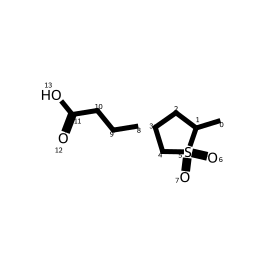 CC1CCCS1(=O)=O.CCCC(=O)O